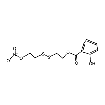 O=C(OCCSSCCO[N+](=O)[O-])c1ccccc1O